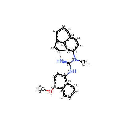 COc1ccc(NC(=N)N(C)c2ccc3cccc4c3c2C=C4)c2ccccc12